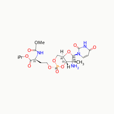 COC(=O)N[C@@H](CCO[P@]1(=O)OC[C@H]2O[C@@H](n3ccc(=O)[nH]c3=O)[C@](C)(N)[C@@H]2O1)C(=O)OC(C)C